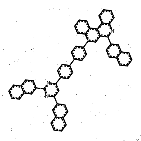 c1ccc2cc(-c3cc(-c4ccc(-c5ccc(-c6cc7c(-c8ccc9ccccc9c8)nc8ccccc8c7c7ccccc67)cc5)cc4)nc(-c4ccc5ccccc5c4)n3)ccc2c1